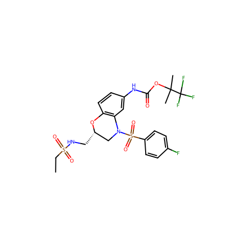 CCS(=O)(=O)NC[C@H]1CN(S(=O)(=O)c2ccc(F)cc2)c2cc(NC(=O)OC(C)(C)C(F)(F)F)ccc2O1